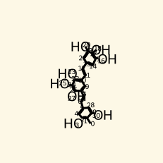 Cc1c(O)cc(/C=C/c2cc(/C=C/c3cc(O)c(O)c(O)c3)c(O)c(O)c2O)cc1O